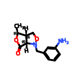 C[C@@H]1OC(=O)[C@@H]2[C@H]1CON2Cc1cccc(N)c1